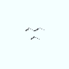 C=C/C(=C/N)C(=N)I